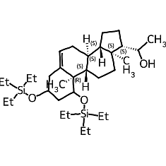 CC[Si](CC)(CC)OC1CC2=CC[C@H]3[C@@H]4CC[C@H](C(C)O)[C@@]4(C)CC[C@@H]3[C@@]2(C)C(O[Si](CC)(CC)CC)C1